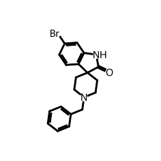 O=C1Nc2cc(Br)ccc2C12CCN(Cc1ccccc1)CC2